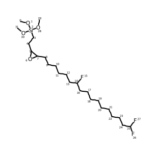 CO[Si](CCC1OC1CCCCCCC(F)CCCCCCCCCC(F)F)(OC)OC